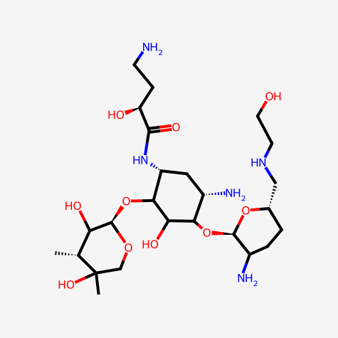 C[C@@H]1C(O)[C@@H](OC2C(O)C(O[C@H]3O[C@H](CNCCO)CCC3N)[C@@H](N)C[C@H]2NC(=O)[C@@H](O)CCN)OCC1(C)O